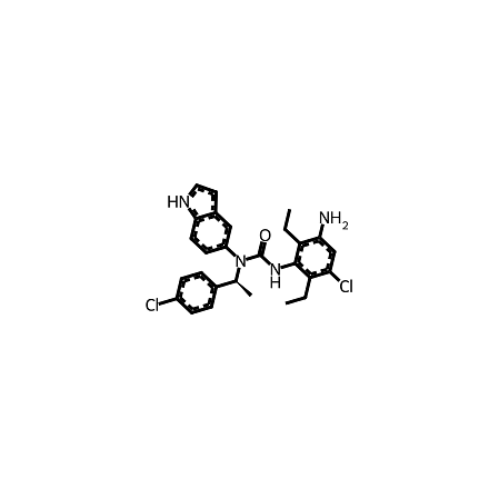 CCc1c(N)cc(Cl)c(CC)c1NC(=O)N(c1ccc2[nH]ccc2c1)[C@@H](C)c1ccc(Cl)cc1